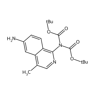 Cc1cnc(N(C(=O)OC(C)(C)C)C(=O)OC(C)(C)C)c2ccc(N)cc12